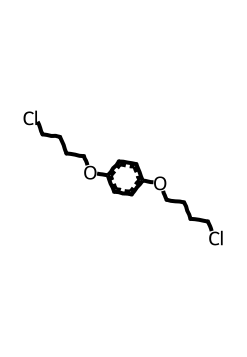 ClCCCCOc1ccc(OCCCCCl)cc1